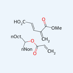 C=C(C=CC(=O)O)C(=O)OC.C=CC(=O)OC(CCCCCCCC)CCCCCCCCC